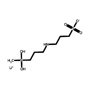 C[Si](O)(O)CCCNCCCS(=O)(=O)[O-].[Li+]